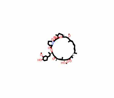 COC1CC(CC(C)[C@@H]2CC(=O)[C@H](C)/C=C(\C)[C@@H](O)C(OC)C(=O)C(C)CC(C)/C=C/C=C/C=C(\C)[C@@H](OC)C[C@@H]3CCC(C)C(O)(O3)C(=O)C(=O)N3CCCCC3C(=O)O2)CC[C@H]1O